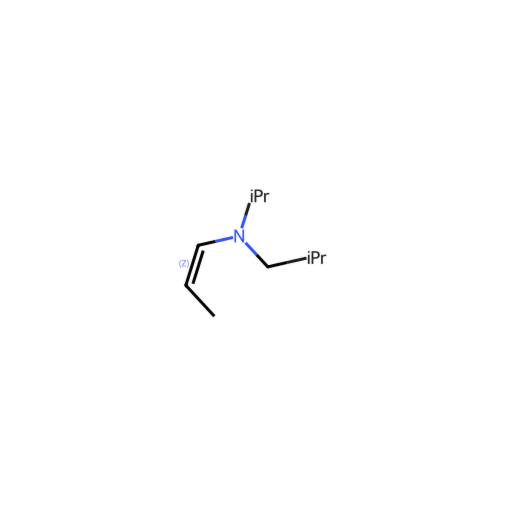 C/C=C\N(CC(C)C)C(C)C